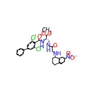 COC(=O)[C@H](CNC(=O)CNC1CCCc2ccc([N+](=O)[O-])cc21)NC(=O)c1c(Cl)cc(-c2ccccc2)cc1Cl